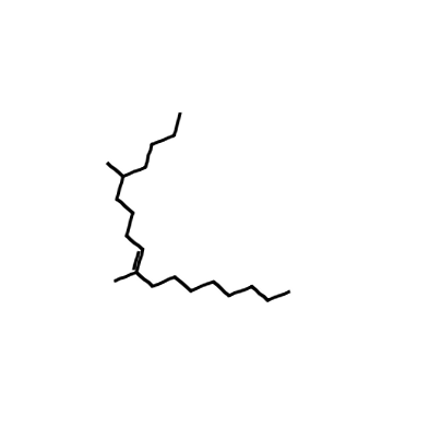 CCCCCCCCC(C)=CCCCC(C)CCCC